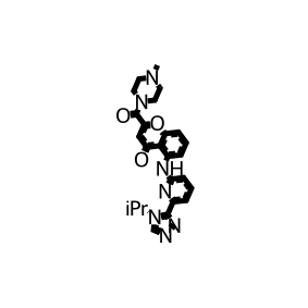 CC(C)n1cnnc1-c1cccc(Nc2cccc3oc(C(=O)N4CCN(C)CC4)cc(=O)c23)n1